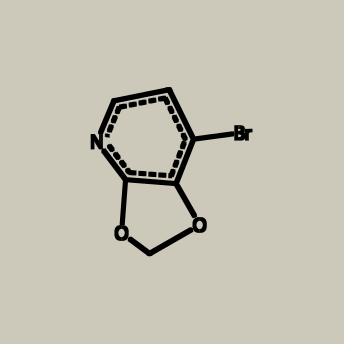 Brc1ccnc2c1OCO2